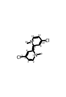 CN1C=CC(Cl)=CC1=C1C=C(Cl)C=CN1C